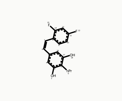 CCCc1c(O)cc(/C=C\c2ccc(F)cc2F)cc1O